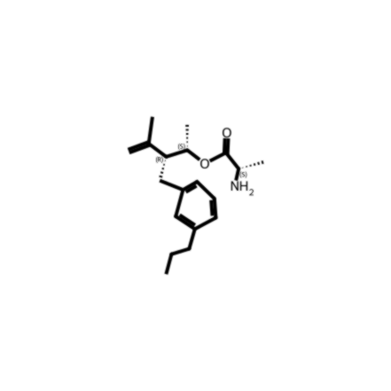 C=C(C)[C@@H](Cc1cccc(CCC)c1)[C@H](C)OC(=O)[C@H](C)N